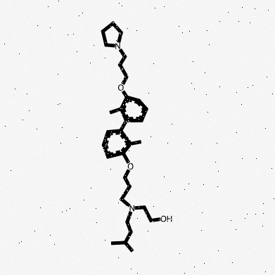 Cc1c(OCCCN2CCCC2)cccc1-c1cccc(OCCCN(CCO)CCC(C)C)c1C